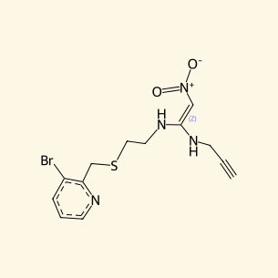 C#CCN/C(=C/[N+](=O)[O-])NCCSCc1ncccc1Br